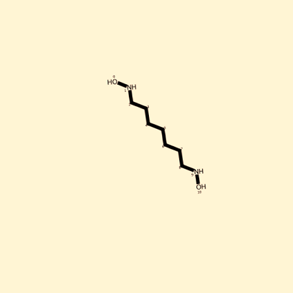 ONCCCCCCCNO